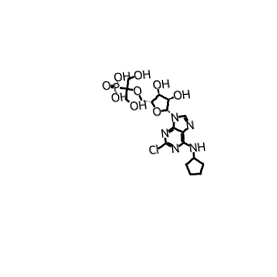 O=P(O)(O)C(CO)(CO)OC[C@H]1O[C@@H](n2cnc3c(NC4CCCC4)nc(Cl)nc32)[C@H](O)[C@@H]1O